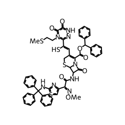 CON=C(C(=O)NC1C(=O)N2C(C(=O)OC(c3ccccc3)c3ccccc3)=C(C=C(S)c3n[nH]c(=O)c(=O)n3CCSC)CSC12)c1csc(NC(c2ccccc2)(c2ccccc2)c2ccccc2)n1